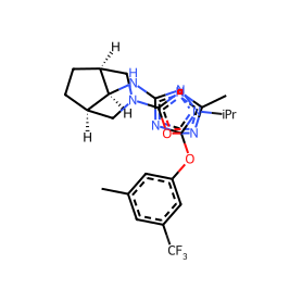 Cc1cc(Oc2nc(N[C@H]3[C@@H]4CC[C@H]3CN(c3nc(C)no3)C4)nn2C(C)C)cc(C(F)(F)F)c1